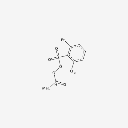 CCc1cccc(C(F)(F)F)c1S(=O)(=O)OO[PH](=O)OC